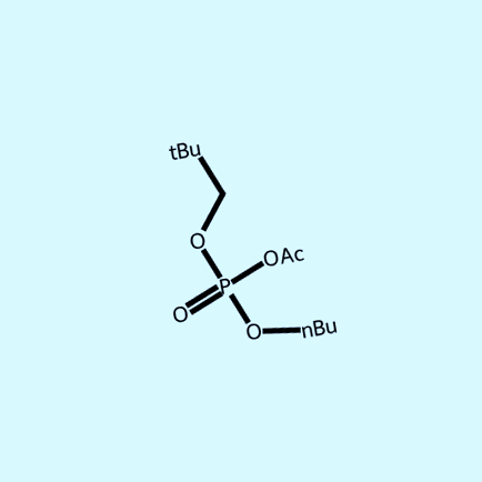 CCCCOP(=O)(OCC(C)(C)C)OC(C)=O